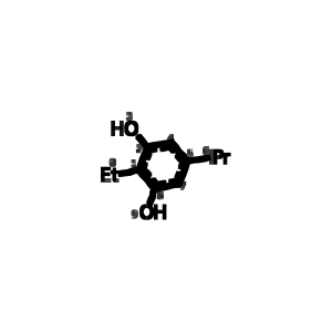 CCc1c(O)cc(C(C)C)cc1O